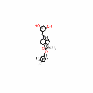 C[C@H](C(=O)OC[C@@H]1CC[C@H]2CC1C2(C)C)[C@H]1CC[C@H]2/C(=C/C=C3C[C@@H](O)C[C@@H](O)C3)CCC[C@]12C